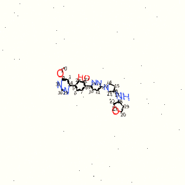 COc1cc(-c2ccc(-c3ccc(N4CC[C@@H](NC5CCOC5)C4)nn3)c(O)c2)ncn1